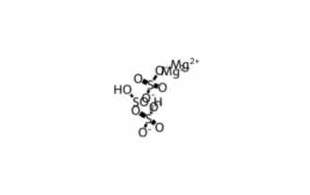 O=S(=O)(O)O.O=S(=O)([O-])[O-].O=S(=O)([O-])[O-].[Mg+2].[Mg+2]